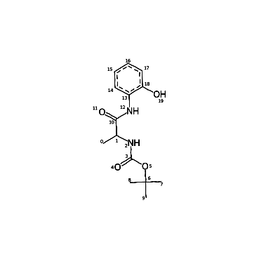 CC(NC(=O)OC(C)(C)C)C(=O)Nc1ccccc1O